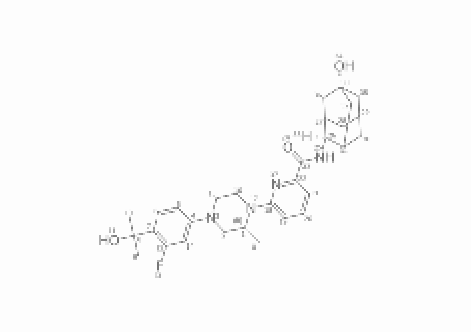 C[C@@H]1CN(c2ccc(C(C)(C)O)c(F)c2)CCN1c1cccc(C(=O)N[C@H]2C3CC4CC2C[C@](O)(C4)C3)n1